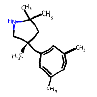 Cc1cc(C)cc([C@]2(C)CNC(C)(C)C2)c1